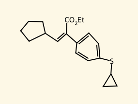 CCOC(=O)C(=CC1CCCC1)c1ccc(SC2CC2)cc1